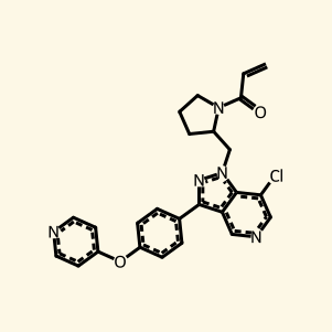 C=CC(=O)N1CCCC1Cn1nc(-c2ccc(Oc3ccncc3)cc2)c2cncc(Cl)c21